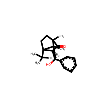 CC(C)(C)C12CCC(C)(C(=O)C1=C(O)c1ccccc1)C2(C)C